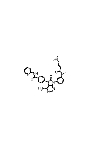 CN(C)CC=CC(=O)N(C)c1cccc(-n2c(=O)n(-c3ccc(C(=O)Nc4ccccn4)cc3)c3c(N)ncnc32)c1